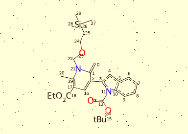 C=C1C(c2cc3ccccc3n2C(=O)OC(C)(C)C)=CC(C(=O)OCC)=C(C)N1COCC[Si](C)(C)C